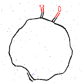 O=C1CCCCC/C=C/CCCCCCC1=O